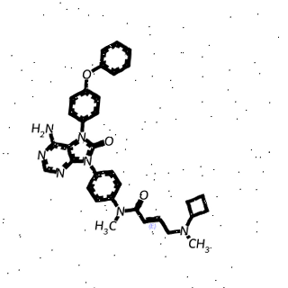 CN(C(=O)/C=C/CN(C)C1CCC1)c1ccc(-n2c(=O)n(-c3ccc(Oc4ccccc4)cc3)c3c(N)ncnc32)cc1